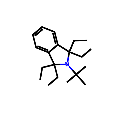 CCC1(CC)c2ccccc2C(CC)(CC)N1C(C)(C)C